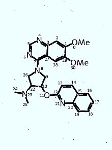 COc1cc2ncnc(N3CC(Oc4ccc5ccccc5n4)C(N(C)C)C3)c2cc1OC